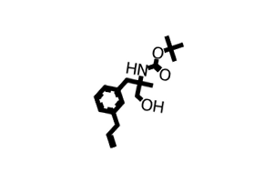 C=CCc1cccc(CC(C)(CO)NC(=O)OC(C)(C)C)c1